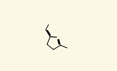 C/C=C1/CCC(C(C)C)=N1